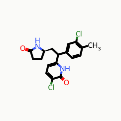 Cc1ccc(C(C[C@H]2CCC(=O)N2)c2ccc(Cl)c(=O)[nH]2)cc1Cl